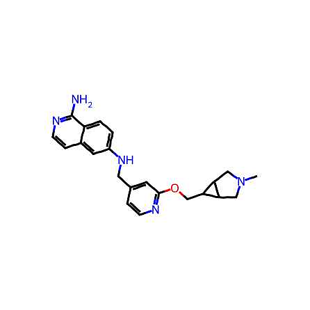 CN1CC2C(COc3cc(CNc4ccc5c(N)nccc5c4)ccn3)C2C1